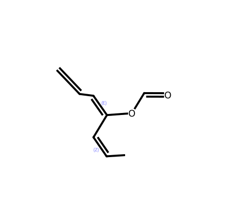 C=C/C=C(\C=C/C)OC=O